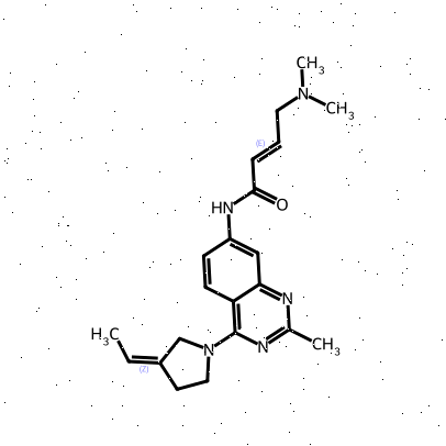 C/C=C1/CCN(c2nc(C)nc3cc(NC(=O)/C=C/CN(C)C)ccc23)C1